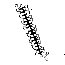 O=[SH](=O)OC(Cl)(Cl)C(Cl)(Cl)C(Cl)(Cl)C(Cl)(Cl)C(Cl)(Cl)C(Cl)(Cl)C(Cl)(Cl)C(Cl)(Cl)C(Cl)(Cl)C(Cl)(Cl)C(Cl)(Cl)C(Cl)(Cl)C(Cl)(Cl)C(Cl)(Cl)C(Cl)(Cl)C(Cl)(Cl)Cl